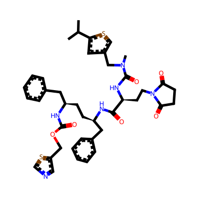 CC(C)c1cc(CN(C)C(=O)N[C@@H](CCN2C(=O)CCC2=O)C(=O)N[C@H](CC[C@H](Cc2ccccc2)NC(=O)OCc2cncs2)Cc2ccccc2)cs1